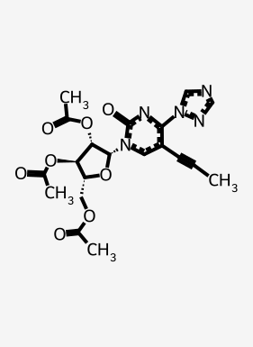 CC#Cc1cn([C@@H]2O[C@H](COC(C)=O)[C@@H](OC(C)=O)[C@@H]2OC(C)=O)c(=O)nc1-n1cncn1